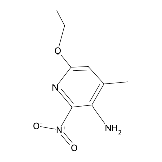 CCOc1cc(C)c(N)c([N+](=O)[O-])n1